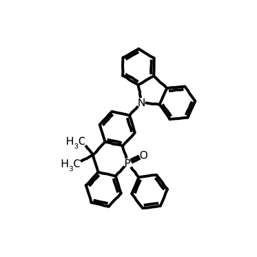 CC1(C)c2ccccc2P(=O)(c2ccccc2)c2cc(-n3c4ccccc4c4ccccc43)ccc21